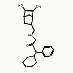 O=C(CNCC1CC2CC1C(O)C2O)N(c1ccccc1)C1CCCCC1